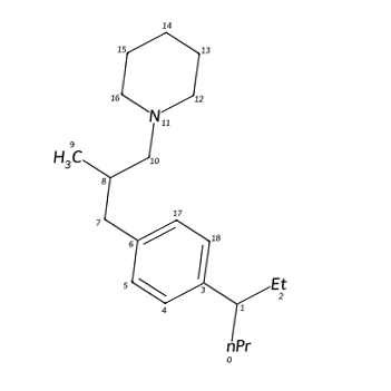 CCCC(CC)c1ccc(CC(C)CN2CCCCC2)cc1